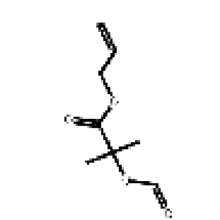 C=CCOC(=O)C(C)(C)O[C]=O